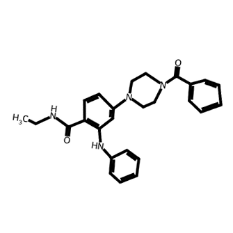 CCNC(=O)c1ccc(N2CCN(C(=O)c3ccccc3)CC2)cc1Nc1ccccc1